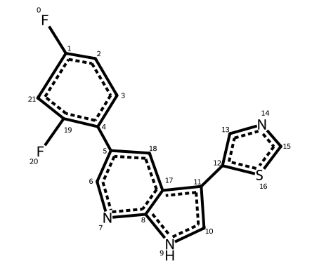 Fc1ccc(-c2cnc3[nH]cc(-c4cncs4)c3c2)c(F)c1